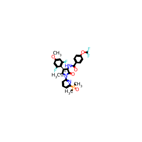 COc1cc(F)c([C@H]2C(NC(=O)c3ccc(OC(F)F)cc3)C(=O)N(c3cccc(P(C)(C)=O)n3)[C@H]2C)c(F)c1